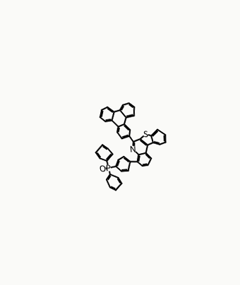 O=P(c1ccccc1)(c1ccccc1)c1ccc(-c2cccc3c2nc(-c2ccc4c5ccccc5c5ccccc5c4c2)c2sc4ccccc4c23)cc1